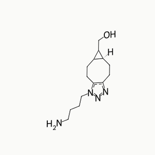 NCCCCn1nnc2c1CCC1C(CO)[C@H]1CC2